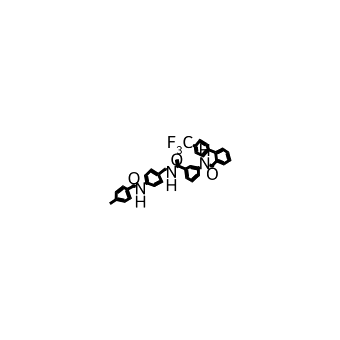 Cc1ccc(C(=O)Nc2ccc(CNC(=O)c3cccc(NC(=O)c4ccccc4-c4ccc(C(F)(F)F)cc4)c3)cc2)cc1